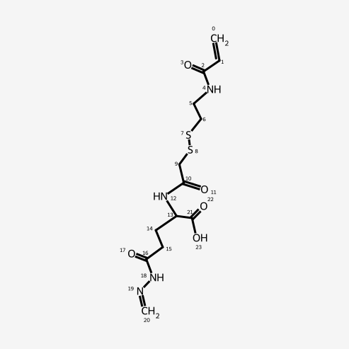 C=CC(=O)NCCSSCC(=O)NC(CCC(=O)NN=C)C(=O)O